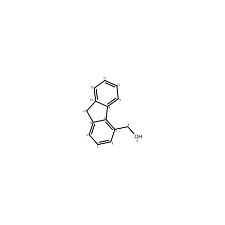 OCc1cccc2c1-c1ccccc1C2